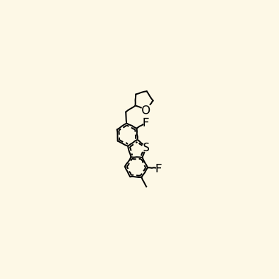 Cc1ccc2c(sc3c(F)c(CC4CCCO4)ccc32)c1F